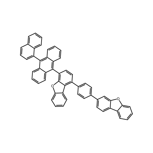 c1ccc2c(-c3c4ccccc4c(-c4ccc(-c5ccc(-c6ccc7c(c6)oc6ccccc67)cc5)c5c4oc4ccccc45)c4ccccc34)cccc2c1